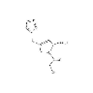 O=C(O)C1C=C(Cc2ccco2)CN1C(=O)CS